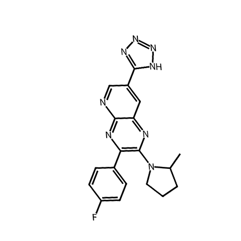 CC1CCCN1c1nc2cc(-c3nnn[nH]3)cnc2nc1-c1ccc(F)cc1